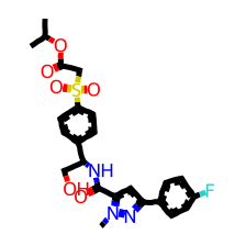 CC(C)OC(=O)CS(=O)(=O)c1ccc(C(CO)NC(=O)c2cc(-c3ccc(F)cc3)nn2C)cc1